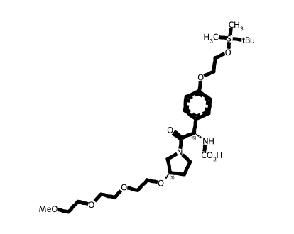 COCCOCCOCCO[C@H]1CCN(C(=O)[C@@H](NC(=O)O)c2ccc(OCCO[Si](C)(C)C(C)(C)C)cc2)C1